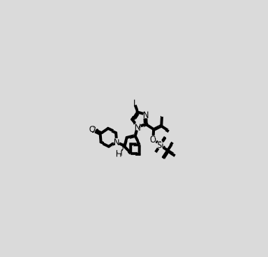 CC(C)C(O[Si](C)(C)C(C)(C)C)c1nc(I)cn1C1C[C@H](N2CCC(=O)CC2)C2CC1C2